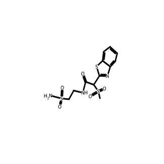 CS(=O)(=O)C(C(=O)NCCS(N)(=O)=O)c1nc2ccccc2s1